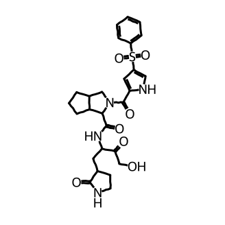 O=C1NCCC1CC(NC(=O)C1C2CCCC2CN1C(=O)c1cc(S(=O)(=O)c2ccccc2)c[nH]1)C(=O)CO